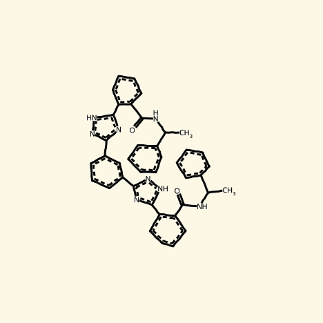 CC(NC(=O)c1ccccc1-c1nc(-c2cccc(-c3n[nH]c(-c4ccccc4C(=O)NC(C)c4ccccc4)n3)c2)n[nH]1)c1ccccc1